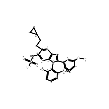 CCOC1=NC(c2nc3nc(CCC4CC4)c(NS(C)(=O)=O)nc3n2-c2c(O)cccc2OC)=C=C=C1